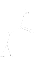 O=S(O)CC1CC1